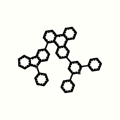 c1ccc(-c2cc(-c3ccc4c(c3)c3ccccc3c3cccc(-c5ccc6c(c5)c5ccccc5n6-c5ccccc5)c34)cc(-c3ccccc3)n2)cc1